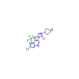 C[C@@]1(C(F)(F)F)CN(C(=O)NC2CCC3(CC2)CC3)c2cnc3cc(Cl)nn3c21